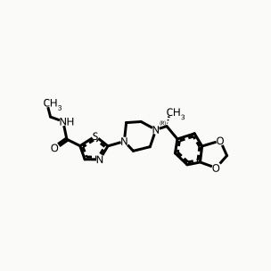 CCNC(=O)c1cnc(N2CCN([C@H](C)c3ccc4c(c3)OCO4)CC2)s1